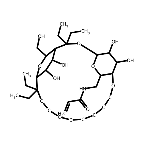 C=CC(=O)NCC1OC2OC(CC)(CC)C3C(CO)OC(C(O)C3O)C(CC)(CC)CCCCCCCCOC1C(O)C2O